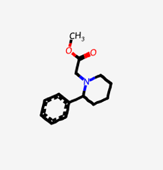 COC(=O)CN1CCCCC1c1ccccc1